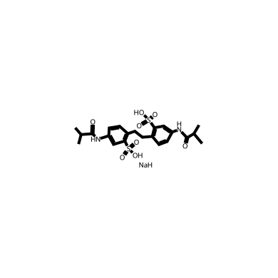 CC(C)C(=O)Nc1ccc(CCc2ccc(NC(=O)C(C)C)cc2S(=O)(=O)O)c(S(=O)(=O)O)c1.[NaH]